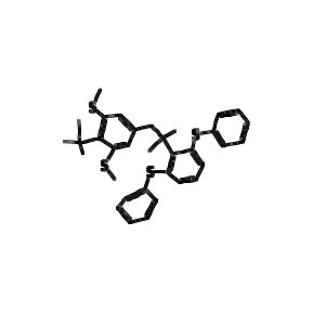 CSc1cc(CC(C)(C)c2c(Sc3ccccc3)cccc2Sc2ccccc2)cc(SC)c1C(C)(C)C